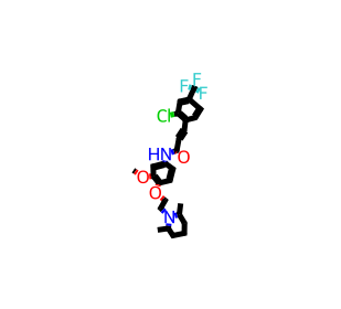 COc1cc(NC(=O)C#Cc2ccc(C(F)(F)F)cc2Cl)ccc1OCCN1C(C)CCCC1C